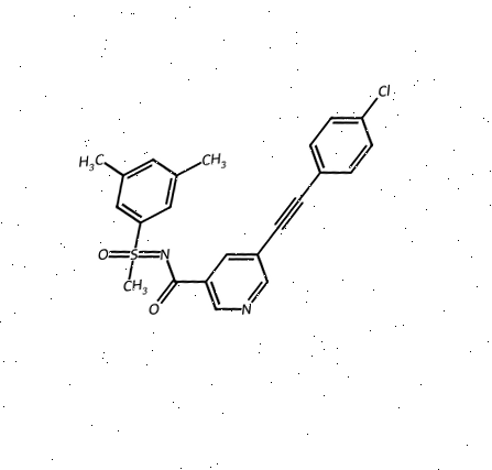 Cc1cc(C)cc(S(C)(=O)=NC(=O)c2cncc(C#Cc3ccc(Cl)cc3)c2)c1